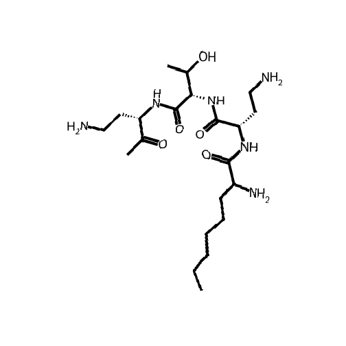 CCCCCCC(N)C(=O)N[C@@H](CCN)C(=O)N[C@H](C(=O)N[C@@H](CCN)C(C)=O)C(C)O